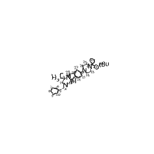 C[C@@H]1CN(Cc2ccccc2)C[C@@H]2c3ccc(N4CCN(C(=O)OC(C)(C)C)CC4)cc3CN12